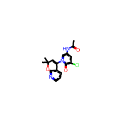 CC(=O)Nc1cc(Cl)c(=O)n(C2=CC(C)(C)Oc3ncccc32)c1